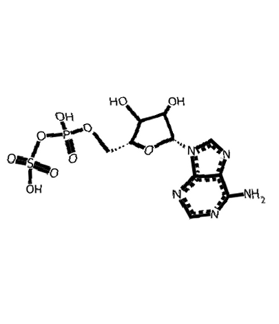 Nc1ncnc2c1ncn2[C@@H]1O[C@H](COP(=O)(O)OS(=O)(=O)O)C(O)C1O